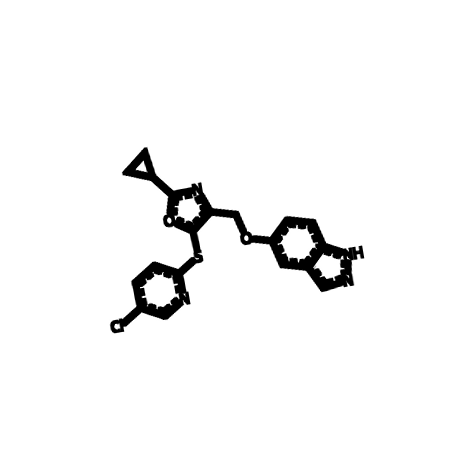 Clc1ccc(Sc2oc(C3CC3)nc2COc2ccc3[nH]ncc3c2)nc1